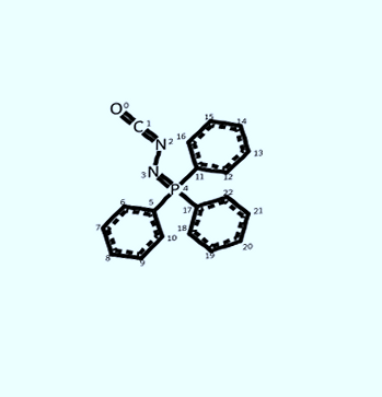 O=C=NN=P(c1ccccc1)(c1ccccc1)c1ccccc1